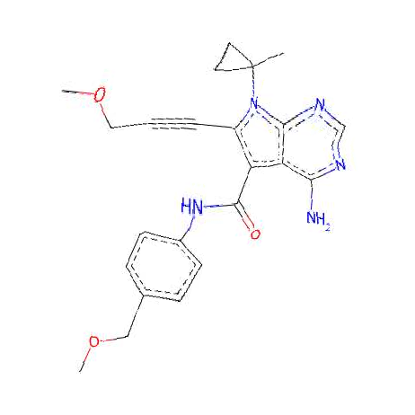 COCC#Cc1c(C(=O)Nc2ccc(COC)cc2)c2c(N)ncnc2n1C1(C)CC1